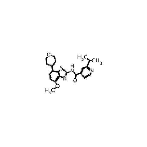 COc1ccc(C2CCOCC2)c2sc(NC(=O)c3ccnc(C(C)C)c3)nc12